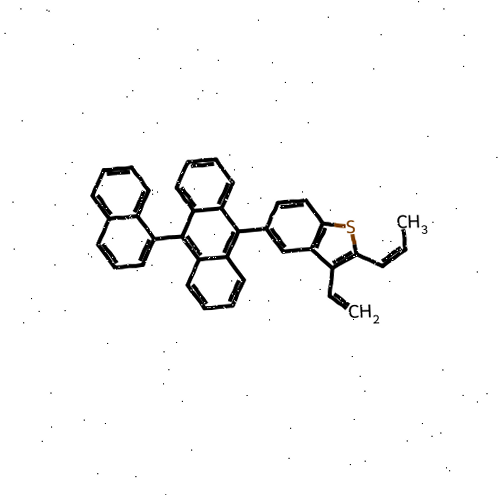 C=Cc1c(/C=C\C)sc2ccc(-c3c4ccccc4c(-c4cccc5ccccc45)c4ccccc34)cc12